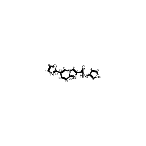 O=C(Nc1ccsc1)c1cn2cc(-c3ncco3)ccc2n1